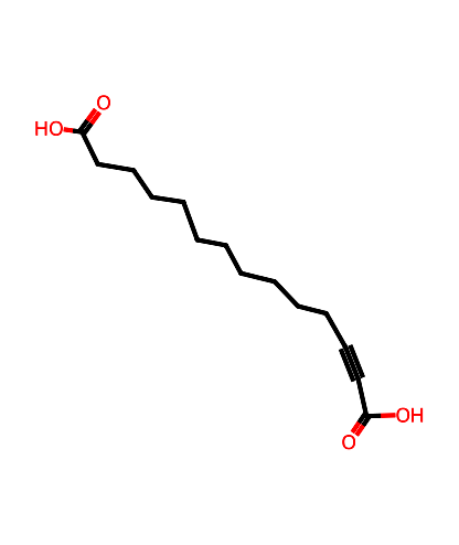 O=C(O)C#CCCCCCCCCCCC(=O)O